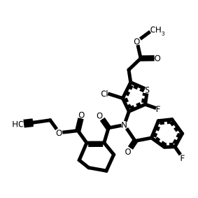 C#CCOC(=O)C1=C(C(=O)N(C(=O)c2cccc(F)c2)c2c(F)sc(CC(=O)OC)c2Cl)CCCC1